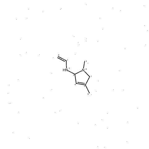 C=CNC1C=C(C)CN1C